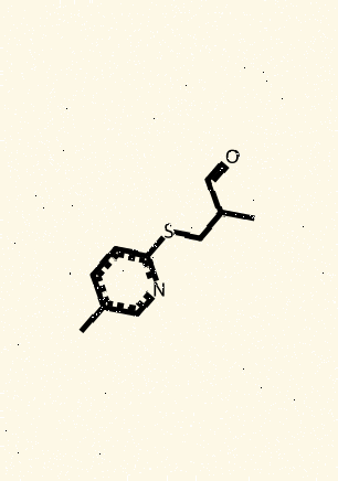 Cc1ccc(SCC(C)C=O)nc1